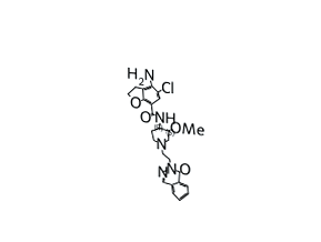 CO[C@H]1CN(CCn2ncc3ccccc3c2=O)CC[C@H]1NC(=O)c1cc(Cl)c(N)c2c1OCC2